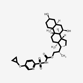 C[C@H](COC(=O)NS(=O)(=O)c1ccc(OC2CC2)cn1)[C@H]1CC[C@H]2[C@@H]3[C@H](O)C[C@@H]4C[C@H](O)CC[C@]4(C)[C@H]3CC[C@]12C